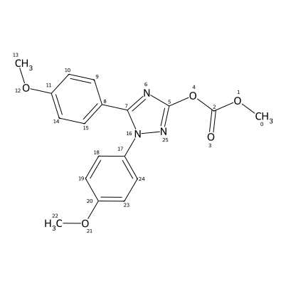 COC(=O)Oc1nc(-c2ccc(OC)cc2)n(-c2ccc(OC)cc2)n1